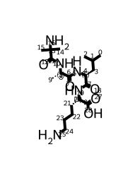 CC(C)C[C@H](NC(=O)[C@H](C)NC(=O)C(C)(C)N)C(=O)N[C@@H](CCCCN)C(=O)O